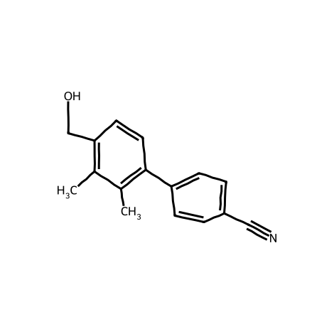 Cc1c(CO)ccc(-c2ccc(C#N)cc2)c1C